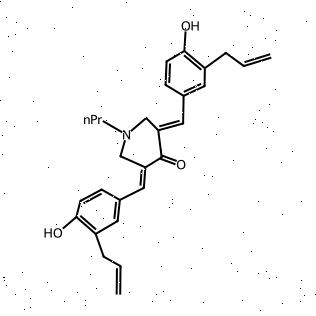 C=CCc1cc(/C=C2\CN(CCC)C/C(=C\c3ccc(O)c(CC=C)c3)C2=O)ccc1O